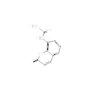 O=CC(=O)Nc1cccc2ccc(=O)oc12